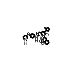 CC1=C(c2cc3cnc(Nc4ccc(N(C)C5CCCNC5)cc4)nc3n(C3Cc4ccccc4S(=O)(=O)N3C)c2=O)CCC1